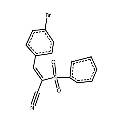 N#C/C(=C/c1ccc(Br)cc1)S(=O)(=O)c1ccccc1